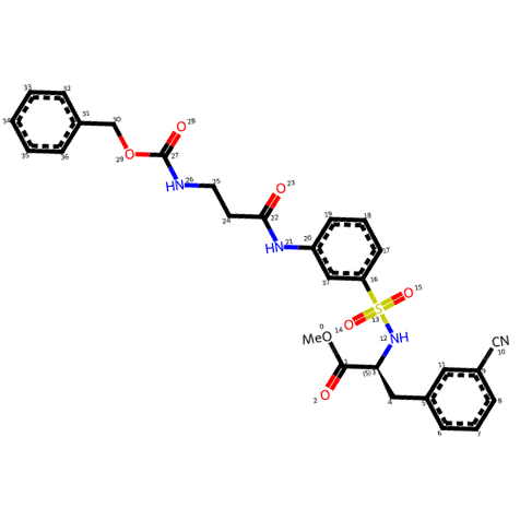 COC(=O)[C@H](Cc1cccc(C#N)c1)NS(=O)(=O)c1cccc(NC(=O)CCNC(=O)OCc2ccccc2)c1